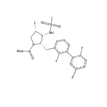 CNC(=O)N1C[C@H](F)[C@H](NS(C)(=O)=O)[C@@H]1Cc1cccc(-c2cc(F)ccc2F)c1F